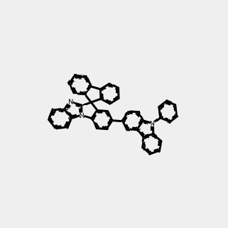 c1ccc(-n2c3ccccc3c3cc(-c4ccc5c(c4)C4(c6ccccc6-c6ccccc64)c4nc6ccccc6n4-5)ccc32)cc1